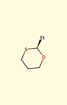 CC[C@H]1OCCCS1